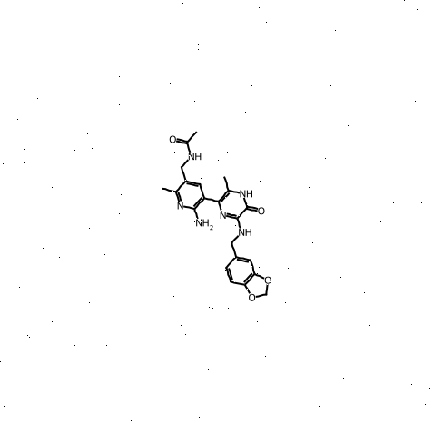 CC(=O)NCc1cc(-c2nc(NCc3ccc4c(c3)OCO4)c(=O)[nH]c2C)c(N)nc1C